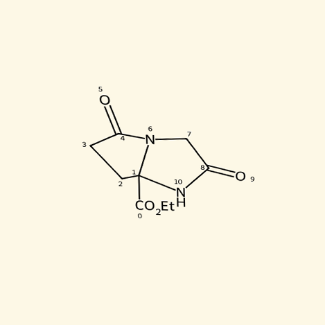 CCOC(=O)C12CCC(=O)N1CC(=O)N2